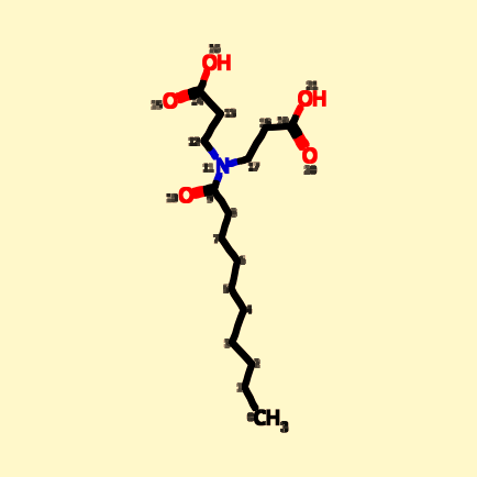 CCCCCCCCCC(=O)N(CCC(=O)O)CCC(=O)O